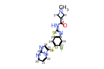 CN1CC(C(=O)Nc2nc3cc(F)c(Sc4cnc5ncccn45)cc3s2)C1